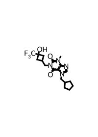 Cn1c(=O)n(CC2CC(O)(C(F)(F)F)C2)c(=O)c2c1ncn2CC1CCCC1